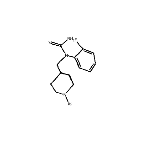 CC(=O)N1CCC(CN(C(N)=S)c2ccccc2F)CC1